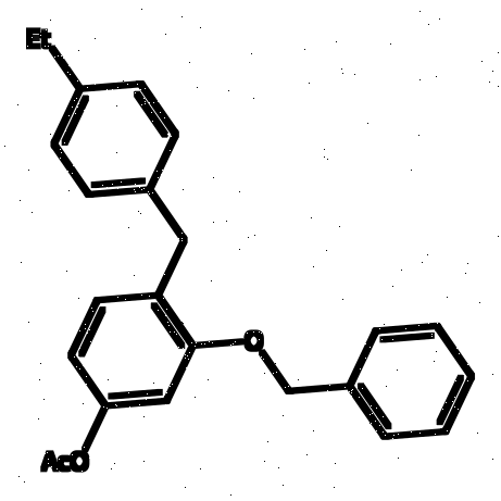 CCc1ccc(Cc2ccc(OC(C)=O)cc2OCc2ccccc2)cc1